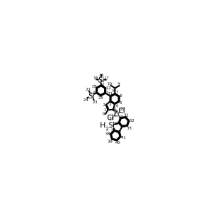 CC1=Cc2c(ccc(C(C)C)c2-c2cc([Si](C)(C)C)cc([Si](C)(C)C)c2)[CH]1[Zr]([Cl])([Cl])[c]1cccc2c1[SiH2]c1ccccc1-2